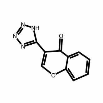 O=c1c(-c2nnn[nH]2)coc2ccccc12